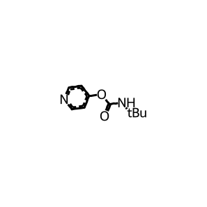 CC(C)(C)NC(=O)Oc1ccncc1